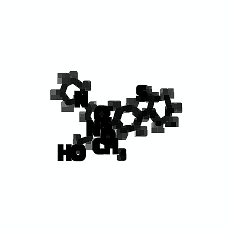 C[C@H](CO)N(CCN1CCCCC1)S(=O)(=O)c1ccc(C2=CC=CCC2=S)cc1